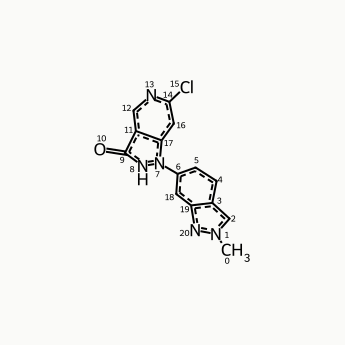 Cn1cc2ccc(-n3[nH]c(=O)c4cnc(Cl)cc43)cc2n1